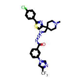 CN1CCC(CN=[N+]=NC(=O)c2cccc(-n3cnc(C(F)(F)F)c3)c2)(c2csc(-c3ccc(Cl)cc3)n2)CC1